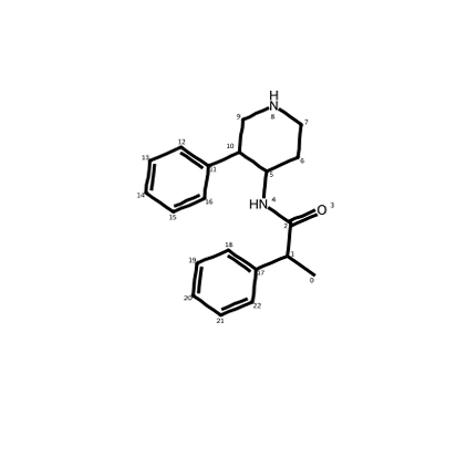 CC(C(=O)NC1CCNCC1c1ccccc1)c1ccccc1